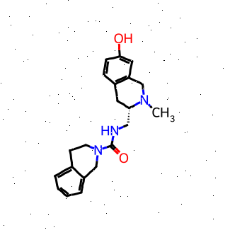 CN1Cc2cc(O)ccc2C[C@H]1CNC(=O)N1CCc2ccccc2C1